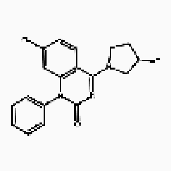 O=c1nc(N2CC[C@@H](F)C2)c2ccc(Cl)cc2n1-c1ccccc1